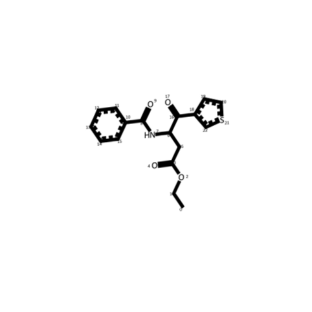 CCOC(=O)CC(NC(=O)c1ccccc1)C(=O)c1ccsc1